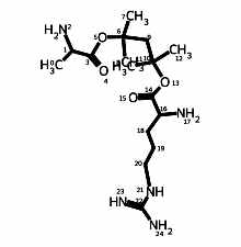 CC(N)C(=O)OC(C)(C)CC(C)(C)OC(=O)C(N)CCCNC(=N)N